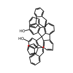 Oc1cc(C2(c3cc(O)cc4c3ccc3ccccc34)c3c(-c4ccccc4)cccc3-c3cccc(-c4ccccc4)c32)c2ccc3ccccc3c2c1